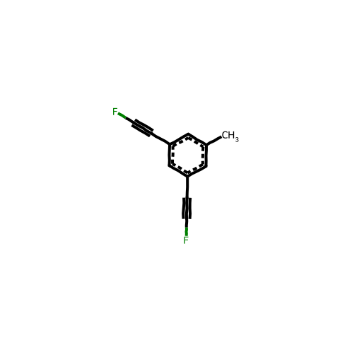 Cc1cc(C#CF)cc(C#CF)c1